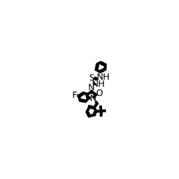 CC(C)(C)c1ccccc1CN1C(=O)/C(=N\NC(=S)Nc2ccccc2)c2cc(F)ccc21